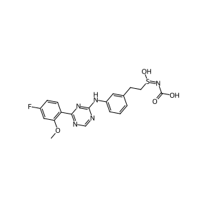 COc1cc(F)ccc1-c1ncnc(Nc2cccc(CC/S(O)=N\C(=O)O)c2)n1